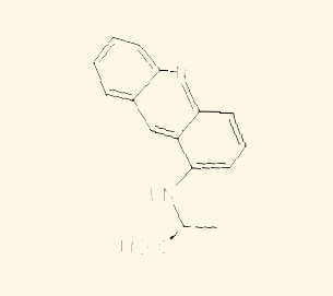 C[C@H](Nc1cccc2nc3ccccc3cc12)C(=O)O